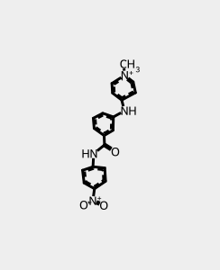 C[n+]1ccc(Nc2cccc(C(=O)Nc3ccc([N+](=O)[O-])cc3)c2)cc1